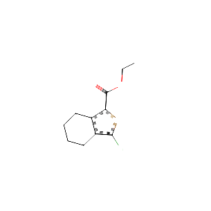 CCOC(=O)c1sc(Br)c2c1CCCC2